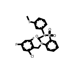 CSc1cccc(N2C(=O)N(Cc3c(F)cc(F)cc3Cl)c3ccccc3S2(=O)=O)c1